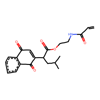 C=CC(=O)NCCOC(=O)C(CC(C)C)C1=CC(=O)c2ccccc2C1=O